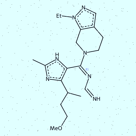 CCn1ncc2c1CN(/C(=N/C=N)c1[nH]c(C)nc1C(C)CCOC)CC2